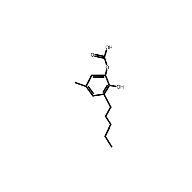 CCCCCc1cc(C)cc(OC(=O)O)c1O